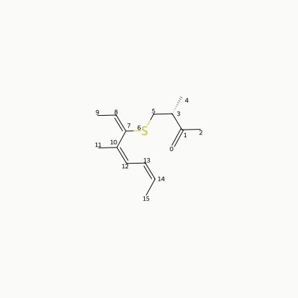 C=C(C)[C@@H](C)CSC(=C/C)/C(C)=C\C=C/C